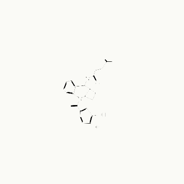 O=C(O)CCC(=O)NC1c2ccccc2N(C(=O)c2ccc(O)c(O)c2)C2CCC12